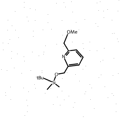 COCc1cccc(CO[Si](C)(C)C(C)(C)C)n1